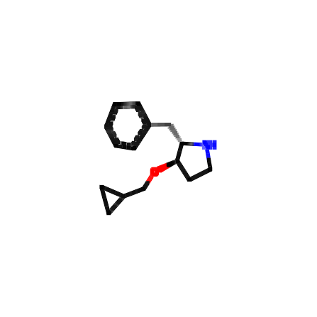 c1ccc(C[C@@H]2NCC[C@H]2OCC2CC2)cc1